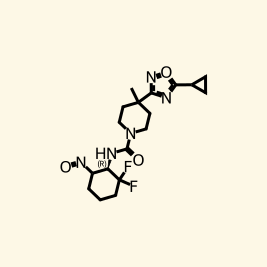 CC1(c2noc(C3CC3)n2)CCN(C(=O)N[C@@H]2C(N=O)CCCC2(F)F)CC1